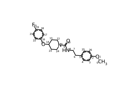 COc1ccc(CCNC(=O)N2CCC(Oc3ccc(F)cc3)CC2)cc1